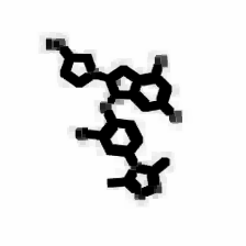 Cc1nnc(C)n1-c1ccc(O[C@H]2c3cc(Cl)cc(Cl)c3C[C@@H]2N2CCC(O)C2)c(Cl)c1